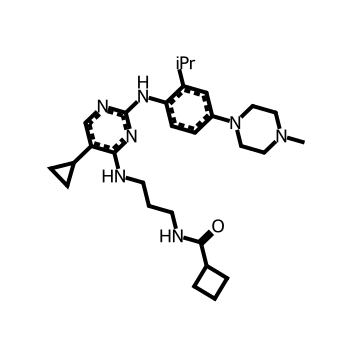 CC(C)c1cc(N2CCN(C)CC2)ccc1Nc1ncc(C2CC2)c(NCCCNC(=O)C2CCC2)n1